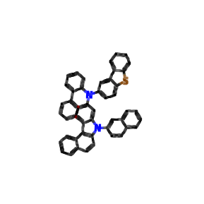 c1ccc(-c2ccccc2N(c2ccc3sc4ccccc4c3c2)c2ccc3c4c5ccccc5ccc4n(-c4ccc5ccccc5c4)c3c2)cc1